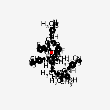 CSC[C@@H](C(=O)N1C[C@H](Oc2cc(F)c3c(c2)C(=O)N([C@H](C(=O)N2C[C@H](OCC(C)CCC(=O)N[C@H](C(=O)N4C[C@H](O)C[C@H]4C(=O)NCc4ccc(-c5scnc5C)cc4)C(C)(C)C)C[C@H]2C(=O)NCc2ccc(-c4scnc4C)cc2)C(C)C)C3)C[C@H]1C(=O)NCc1ccc(-c2scnc2C)cc1)N1Cc2c(F)cccc2C1=O